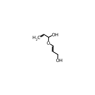 C=CC(O)OC=CCO